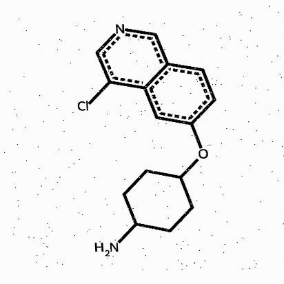 NC1CCC(Oc2ccc3cncc(Cl)c3c2)CC1